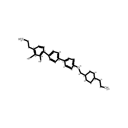 CCCc1ccc(-c2ccc(-c3ccc(OCC4CCC(CCC)CC4)cc3)cc2)c(F)c1F